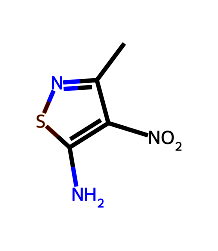 Cc1nsc(N)c1[N+](=O)[O-]